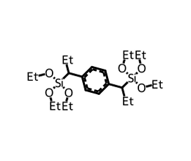 CCO[Si](OCC)(OCC)C(CC)c1ccc(C(CC)[Si](OCC)(OCC)OCC)cc1